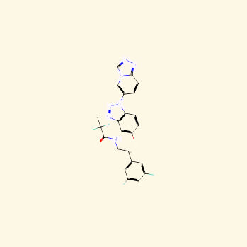 C[C@H](NC(=O)C(C)(F)F)[C@H](Oc1ccc2c(c1)nnn2-c1ccc2nncn2c1)c1cc(F)cc(F)c1